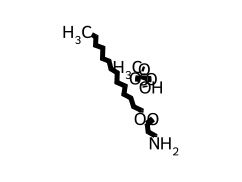 CCCCCCCCCCCCCCOC(=O)CCN.COS(=O)(=O)O